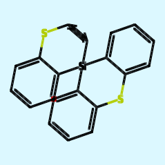 c1ccc2c(c1)Sc1ccccc1[Si]21c2ccccc2Sc2ccccc21